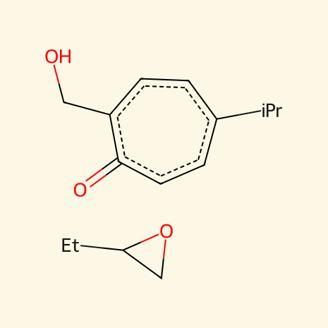 CC(C)c1ccc(CO)c(=O)cc1.CCC1CO1